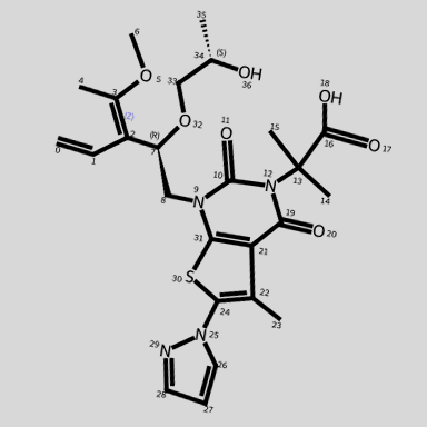 C=C/C(=C(\C)OC)[C@H](Cn1c(=O)n(C(C)(C)C(=O)O)c(=O)c2c(C)c(-n3cccn3)sc21)OC[C@H](C)O